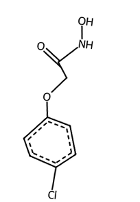 O=C(COc1ccc(Cl)cc1)NO